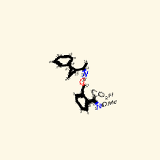 CO/N=C(\C(=O)O)c1ccccc1CO/N=C(/C)C1CC1c1ccccc1